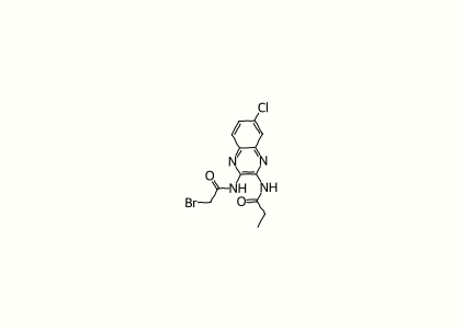 CCC(=O)Nc1nc2cc(Cl)ccc2nc1NC(=O)CBr